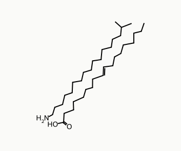 CC(C)CCCCCCCCCCCCCCCN.CCCCCCCCC=CCCCCCCCC(=O)O